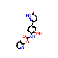 O=C1CCC(c2ccc(NC(=O)Oc3ccccn3)c(O)c2)=NN1